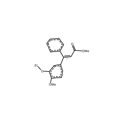 CCOc1cc(/C(=C/C(=O)OC)c2ccccc2)ccc1OC